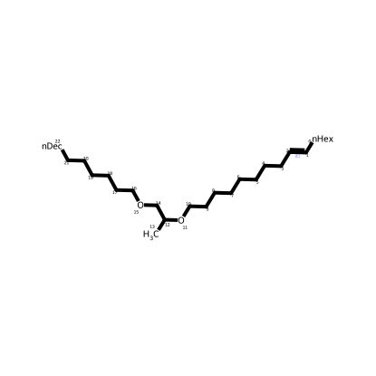 CCCCCC/C=C/CCCCCCCCOC(C)COCCCCCCCCCCCCCCCC